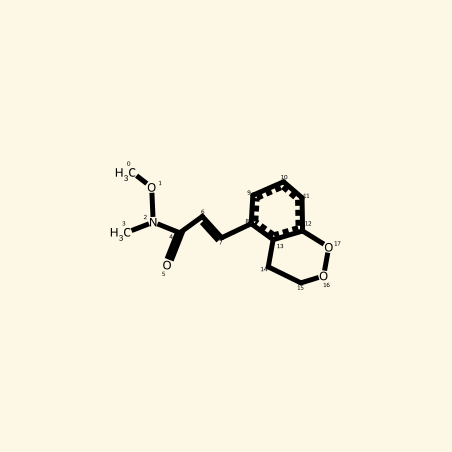 CON(C)C(=O)/C=C/c1cccc2c1CCOO2